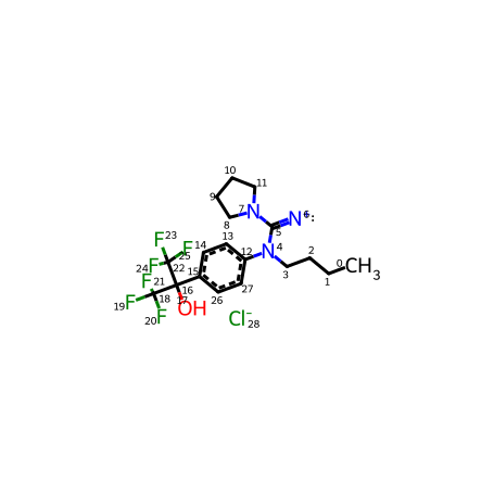 CCCCN(C(=[N+])N1CCCC1)c1ccc(C(O)(C(F)(F)F)C(F)(F)F)cc1.[Cl-]